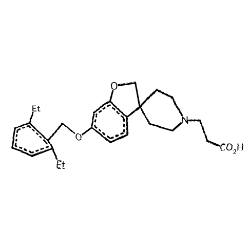 CCc1cccc(CC)c1COc1ccc2c(c1)OCC21CCN(CCC(=O)O)CC1